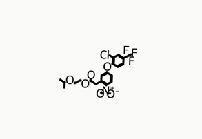 CC(C)OCCOC(=O)Cc1cc(Oc2ccc(C(F)(F)F)cc2Cl)ccc1[N+](=O)[O-]